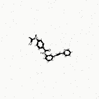 CC(=O)N(C)c1ccc(C(=O)Nc2cccc(C#Cc3ccccn3)c2)cc1